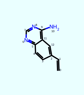 C=Cc1ccc2ncnc(N)c2c1